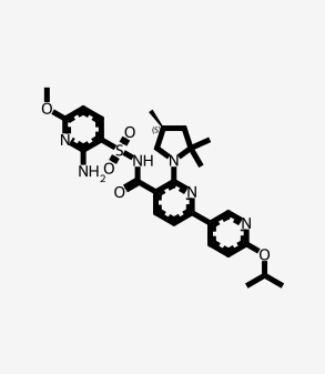 COc1ccc(S(=O)(=O)NC(=O)c2ccc(-c3ccc(OC(C)C)nc3)nc2N2C[C@@H](C)CC2(C)C)c(N)n1